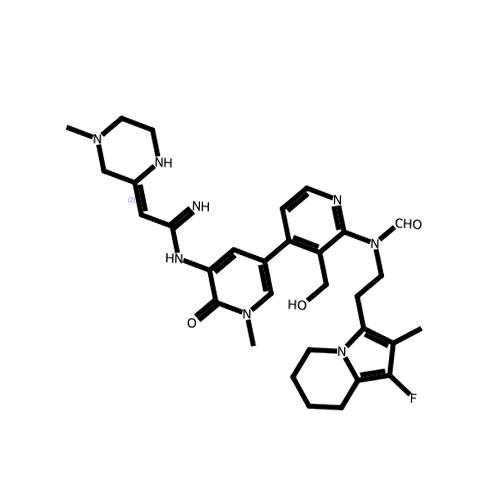 Cc1c(F)c2n(c1CCN(C=O)c1nccc(-c3cc(NC(=N)/C=C4/CN(C)CCN4)c(=O)n(C)c3)c1CO)CCCC2